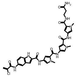 C=C(Cl)C(=O)Nc1ccc2[nH]c(C(=O)Nc3cc(C(=O)Nc4cc(C(=O)Nc5cc(C(=O)NCCC(N)=O)n(C)c5)n(C)c4)n(C)c3)cc2c1